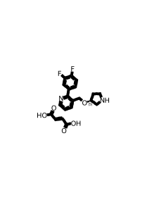 Fc1ccc(-c2ncccc2CO[C@H]2CCNC2)cc1F.O=C(O)C=CC(=O)O